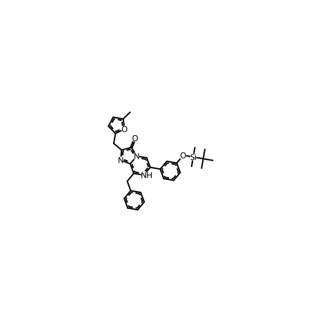 Cc1ccc(Cc2nc3c(Cc4ccccc4)[nH]c(-c4cccc(O[Si](C)(C)C(C)(C)C)c4)cn-3c2=O)o1